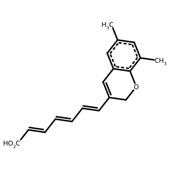 Cc1cc(C)c2c(c1)C=C(C=CC=CC=CC(=O)O)CO2